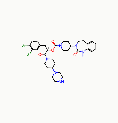 O=C(O[C@H](Cc1ccc(Br)c(Br)c1)C(=O)N1CCC(N2CCNCC2)CC1)N1CCC(N2CCc3ccccc3NC2=O)CC1